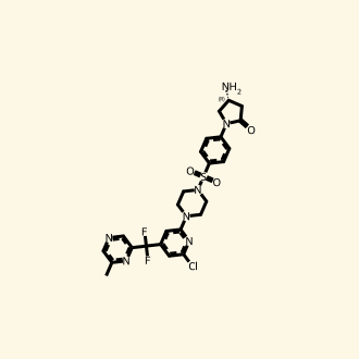 Cc1cncc(C(F)(F)c2cc(Cl)nc(N3CCN(S(=O)(=O)c4ccc(N5C[C@H](N)CC5=O)cc4)CC3)c2)n1